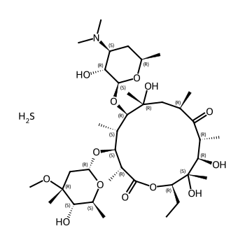 CC[C@H]1OC(=O)[C@H](C)[C@@H](O[C@H]2C[C@@](C)(OC)[C@@H](O)[C@H](C)O2)[C@H](C)[C@@H](O[C@@H]2O[C@H](C)C[C@H](N(C)C)[C@H]2O)[C@](C)(O)C[C@@H](C)C(=O)[C@H](C)[C@@H](O)[C@]1(C)O.S